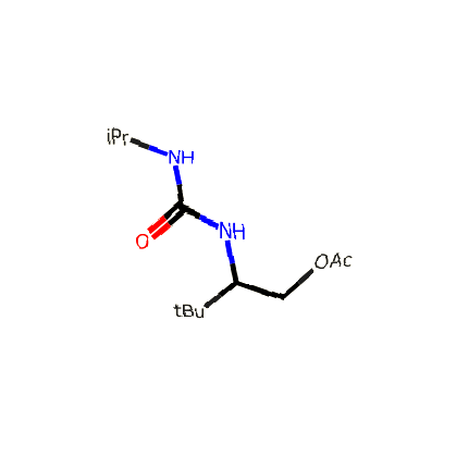 CC(=O)OCC(NC(=O)NC(C)C)C(C)(C)C